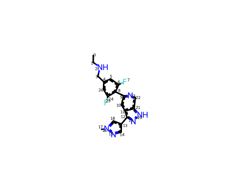 CCNCc1cc(F)c(-c2cc3c(-c4cnn(C)c4)n[nH]c3cn2)c(F)c1